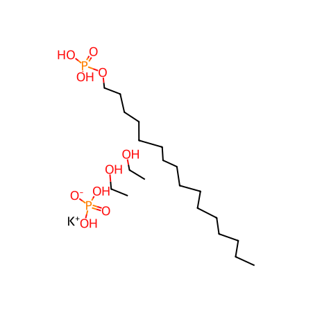 CCCCCCCCCCCCCCCCOP(=O)(O)O.CCO.CCO.O=P([O-])(O)O.[K+]